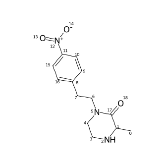 CC1NCCN(CCc2ccc([N+](=O)[O-])cc2)C1=O